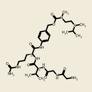 CC(C)[C@H](NC(=O)CNC(=O)CN)C(=O)N[C@@H](CCCNC(N)=O)C(=O)Nc1ccc(COC(=O)N(C)CCN(C)C(C)C)cc1